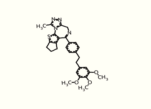 COc1cc(CCc2ccc(C3=NCc4nnc(C)n4-c4sc5c(c43)CCC5)cc2)cc(OC)c1OC